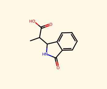 CC(C(=O)O)C1NC(=O)c2ccccc21